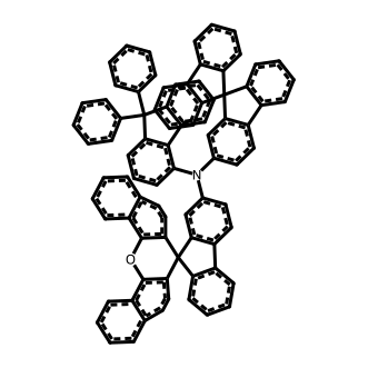 c1ccc(C2(c3ccccc3)c3ccccc3-c3c(N(c4ccc5c(c4)C4(c6ccccc6-c6ccccc64)c4ccccc4-5)c4ccc5c(c4)C4(c6ccccc6-5)c5ccc6ccccc6c5Oc5c4ccc4ccccc54)cccc32)cc1